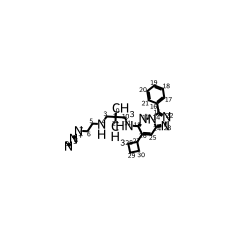 CC(C)(CNCCN=[N+]=[N-])CNc1nn2c(-c3ccccc3)nnc2cc1C1CCC1